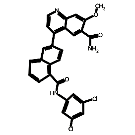 COc1cc2nccc(-c3ccc4c(C(=O)Nc5cc(Cl)cc(Cl)c5)cccc4c3)c2cc1C(N)=O